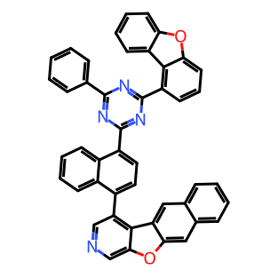 c1ccc(-c2nc(-c3ccc(-c4cncc5oc6cc7ccccc7cc6c45)c4ccccc34)nc(-c3cccc4oc5ccccc5c34)n2)cc1